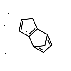 C1=CC2=C(C1)C1=CC=C2C1